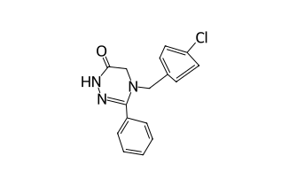 O=C1CN(Cc2ccc(Cl)cc2)C(c2ccccc2)=NN1